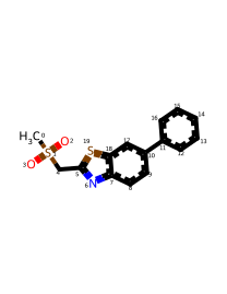 CS(=O)(=O)Cc1nc2ccc(-c3ccccc3)cc2s1